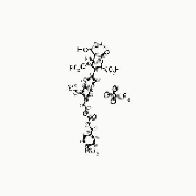 CCSc1c2sc(C3=C(C(=O)O)N4C(=O)[C@H]([C@@H](C)O)[C@H]4[C@H]3C)c[n+]2cn1CCOC(=O)OCc1ccc([N+](=O)[O-])cc1.O=S(=O)([O-])C(F)(F)F